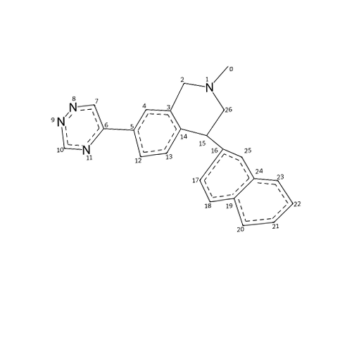 CN1Cc2cc(-c3cnncn3)ccc2C(c2ccc3ccccc3c2)C1